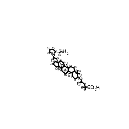 CC(C)(CC(=O)O[C@H]1CC[C@@]2(C)C(CC[C@]3(C)C2CC[C@@H]2[C@H]4CCC[C@]4(CC(=O)N4CCC[C@@H]4CN)CC[C@]23C)C1(C)C)C(=O)O